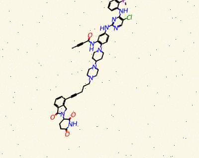 CC#CC(=O)Nc1cc(Nc2ncc(Cl)c(Nc3ccccc3P(C)(C)=O)n2)ccc1N1CCC(N2CCN(CCCC#Cc3cccc4c3CN(C3CCC(=O)NC3=O)C4=O)CC2)CC1